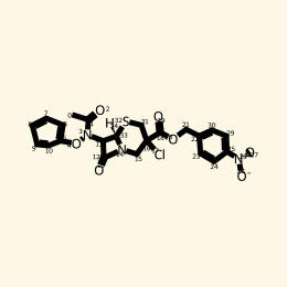 CC(=O)N(Oc1ccccc1)C1C(=O)N2CC(Cl)(C(=O)OCc3ccc([N+](=O)[O-])cc3)CS[C@H]12